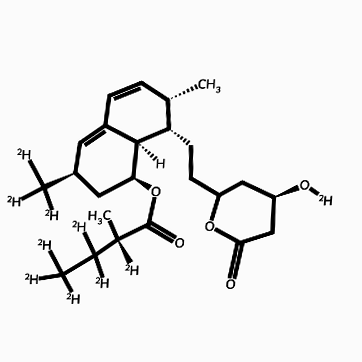 [2H]O[C@H]1CC(=O)OC(CC[C@@H]2[C@@H]3C(=C[C@H](C([2H])([2H])[2H])C[C@@H]3OC(=O)[C@@]([2H])(C)C([2H])([2H])C([2H])([2H])[2H])C=C[C@@H]2C)C1